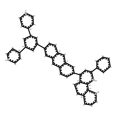 c1ccc(-c2cc(-c3ccc4cc5cc(-c6cc(-c7ccncc7)cc(-c7ccncc7)c6)ccc5cc4c3)c3ccc4cccnc4c3n2)cc1